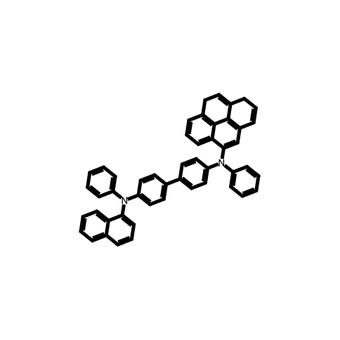 C1=Cc2cc(N(c3ccccc3)c3ccc(-c4ccc(N(c5ccccc5)c5cccc6ccccc56)cc4)cc3)c3cccc4c3c2C(=CC4)C1